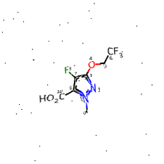 Cn1nc(OCC(F)(F)F)c(F)c1C(=O)O